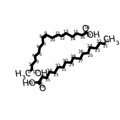 CCCCCCCC/C=C\CCCCCCCC(=O)O.CCCCCCCCCCCCCCCCC(O)C(=O)O